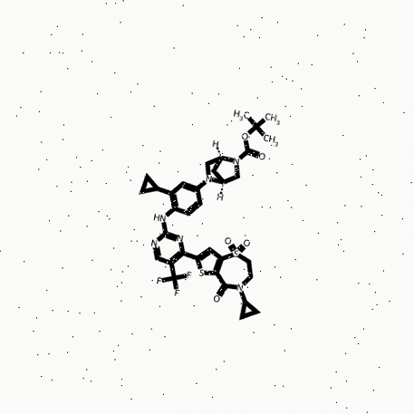 CC(C)(C)OC(=O)N1C[C@@H]2C[C@H]1CN2c1ccc(Nc2ncc(C(F)(F)F)c(-c3cc4c(s3)C(=O)N(C3CC3)CCS4(=O)=O)n2)c(C2CC2)c1